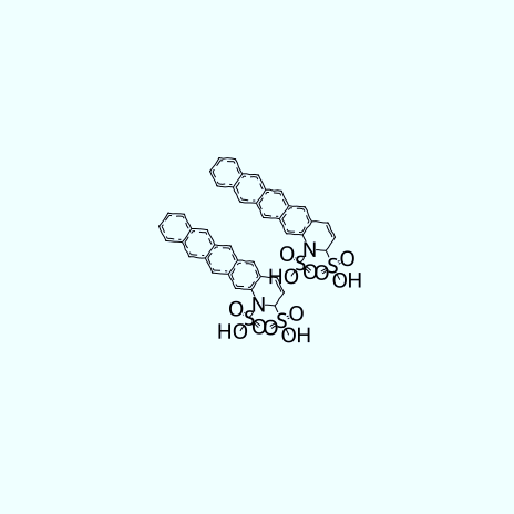 O=S(=O)(O)C1C=Cc2cc3cc4cc5ccccc5cc4cc3cc2N1S(=O)(=O)O.O=S(=O)(O)C1C=Cc2cc3cc4cc5ccccc5cc4cc3cc2N1S(=O)(=O)O